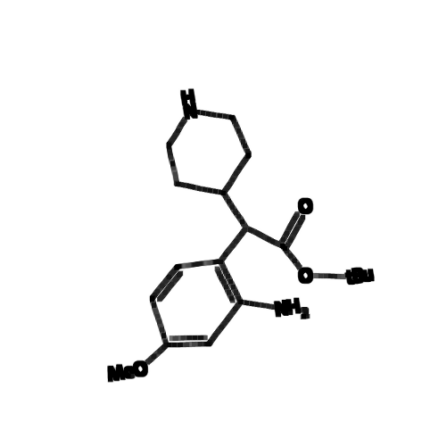 COc1ccc(C(C(=O)OC(C)(C)C)C2CCNCC2)c(N)c1